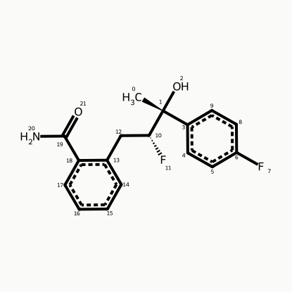 C[C@@](O)(c1ccc(F)cc1)[C@H](F)Cc1ccccc1C(N)=O